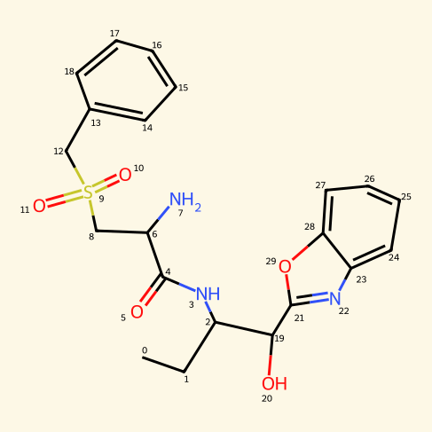 CCC(NC(=O)C(N)CS(=O)(=O)Cc1ccccc1)C(O)c1nc2ccccc2o1